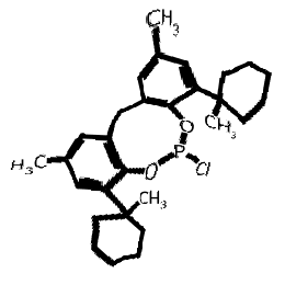 Cc1cc2c(c(C3(C)CCCCC3)c1)OP(Cl)Oc1c(cc(C)cc1C1(C)CCCCC1)C2